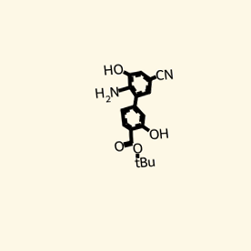 CC(C)(C)OC(=O)c1ccc(-c2cc(C#N)cc(O)c2N)cc1O